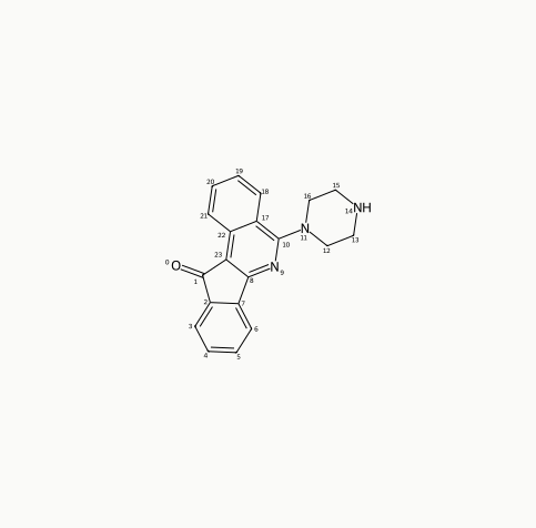 O=C1c2ccccc2-c2nc(N3CCNCC3)c3ccccc3c21